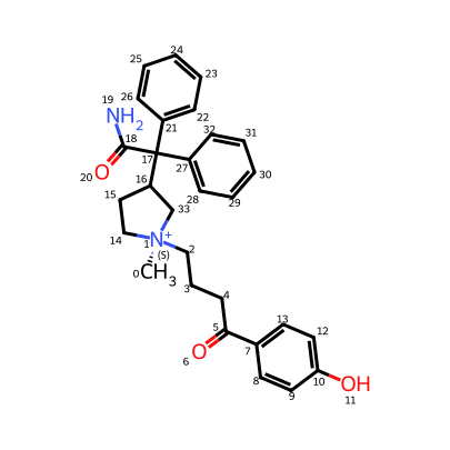 C[N@+]1(CCCC(=O)c2ccc(O)cc2)CCC(C(C(N)=O)(c2ccccc2)c2ccccc2)C1